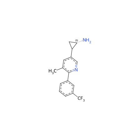 Cc1cc(C2C[C@@H]2N)cnc1-c1cccc(C(F)(F)F)c1